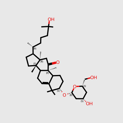 C[C@H](CCCC(C)(C)O)C1CC[C@@]2(C)C3CC=C4C(CC[C@H](O[C@H]5C[C@@H](O)C[C@@H](CO)O5)C4(C)C)[C@]3(C)C(=O)C[C@]12C